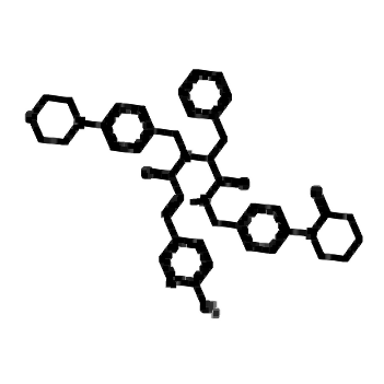 CN(Cc1ccc(N2CCCCC2=O)cc1)C(=O)C(Cc1ccccc1)N(Cc1ccc(N2CCOCC2)cc1)C(=O)C=Cc1ccc(C(F)(F)F)nc1